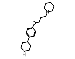 c1cc(C2CCNCC2)ccc1OCCCN1CCCCC1